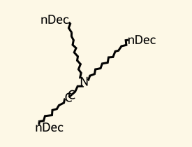 CCCCCCCCCCCCCCCCCCCCCCCCN(CCCCCCCCCCCCCCCCCCCCCCCC)CCCCCCCCCCCCCCCCCCCCCCCC